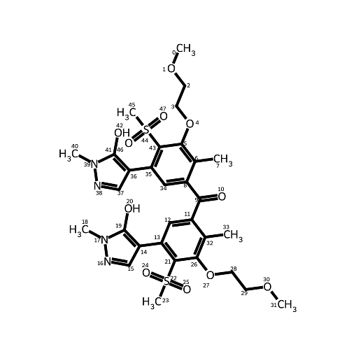 COCCOc1c(C)c(C(=O)c2cc(-c3cnn(C)c3O)c(S(C)(=O)=O)c(OCCOC)c2C)cc(-c2cnn(C)c2O)c1S(C)(=O)=O